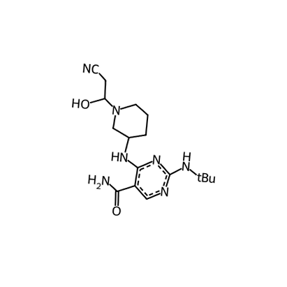 CC(C)(C)Nc1ncc(C(N)=O)c(NC2CCCN(C(O)CC#N)C2)n1